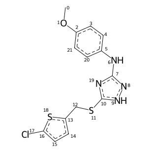 COc1ccc(Nc2n[nH]c(SCc3ccc(Cl)s3)n2)cc1